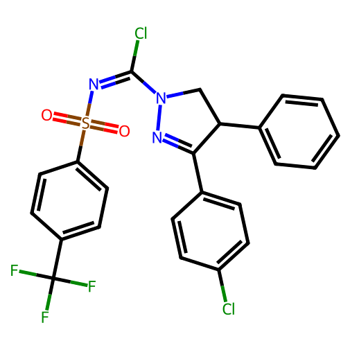 O=S(=O)(/N=C(/Cl)N1CC(c2ccccc2)C(c2ccc(Cl)cc2)=N1)c1ccc(C(F)(F)F)cc1